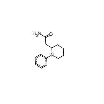 NC(=O)CC1CCCCN1c1ccccc1